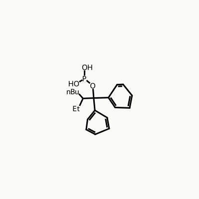 CCCCC(CC)C(OP(O)O)(c1ccccc1)c1ccccc1